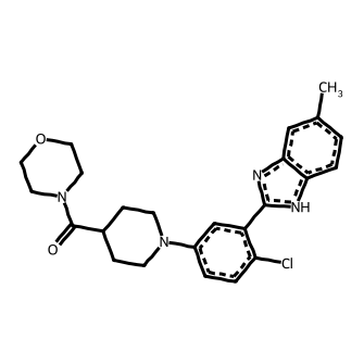 Cc1ccc2[nH]c(-c3cc(N4CCC(C(=O)N5CCOCC5)CC4)ccc3Cl)nc2c1